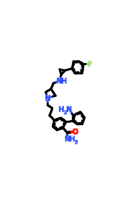 NC(=O)c1ccc(CCCN2CC(CNC3CC3c3ccc(F)cc3)C2)cc1-c1ccccc1N